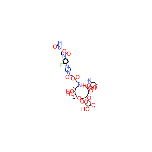 CC[C@H]1OC(=O)[C@H](C)[C@@H](O[C@H]2C[C@@](C)(OC)[C@@H](O)[C@H](C)O2)[C@H](C)[C@@H](O[C@@H]2O[C@H](C)C[C@H](N(C)C)[C@H]2O)[C@](C)(O)C[C@@H](C)N(CCC(=O)OCC(=O)N2CCN(c3ccc(N4C[C@H](CNC(C)=O)OC4=O)cc3F)CC2)C[C@H](C)[C@@H](O)[C@]1(C)O